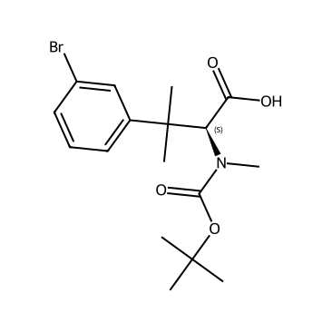 CN(C(=O)OC(C)(C)C)[C@H](C(=O)O)C(C)(C)c1cccc(Br)c1